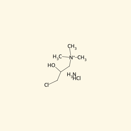 C[N+](C)(C)CC(O)CCl.Cl.N